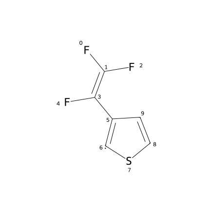 FC(F)=C(F)c1[c]scc1